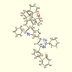 c1ccc(-c2nc(-c3ccc4c(c3)nc(-c3ccccc3)c3cc5c(cc34)C3(c4ccccc4Oc4ccccc43)c3ccccc3-5)cc(-c3cccc4c3sc3ccccc34)n2)cc1